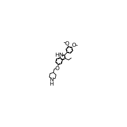 CCc1c(-c2ccc(OC)c(OC)c2)[nH]c2ccc(OCC3CCNCC3)cc12